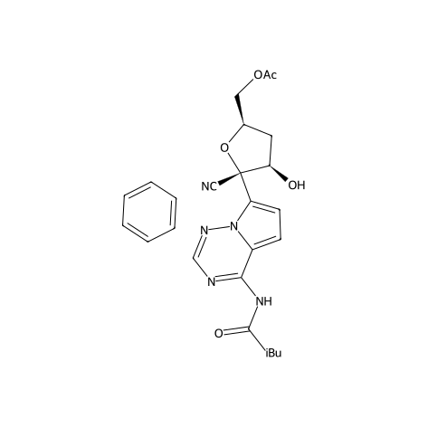 CCC(C)C(=O)Nc1ncnn2c([C@]3(C#N)O[C@@H](COC(C)=O)C[C@H]3O)ccc12.c1ccccc1